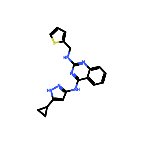 c1csc(CNc2nc(Nc3cc(C4CC4)[nH]n3)c3ccccc3n2)c1